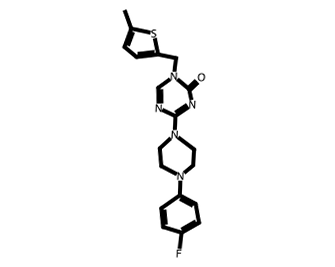 Cc1ccc(Cn2cnc(N3CCN(c4ccc(F)cc4)CC3)nc2=O)s1